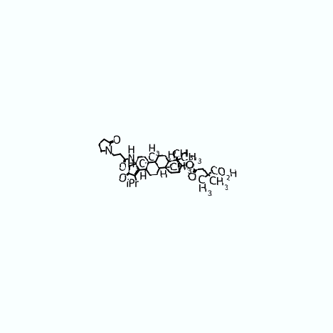 CC(C)C1=C2[C@H]3CC[C@@H]4[C@@]5(C)CC[C@H](OC(=O)CC(C)(C)C(=O)O)C(C)(C)[C@@H]5CC[C@@]4(C)[C@]3(C)CC[C@@]2(NC(=O)CCN2CCCC2=O)CC1=O